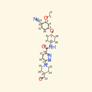 CCOc1cc(O[C@H]2CC[C@H](NC(=O)c3ccc(N4CCC(C=O)CC4)nn3)CC2)ccc1C#N